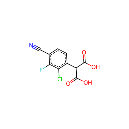 N#Cc1ccc(C(C(=O)O)C(=O)O)c(Cl)c1F